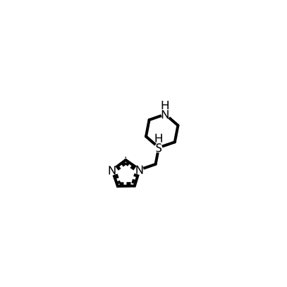 [c]1nccn1C[SH]1CCNCC1